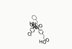 O=C(O)CCc1ccc(NC(=O)C(CC2CCCCC2)NS(=O)(=O)c2ccc(Cl)cc2)cc1